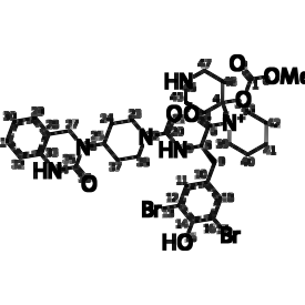 COC(=O)OC1([N+]2(C(=O)[C@@H](Cc3cc(Br)c(O)c(Br)c3)NC(=O)N3CCC(N4Cc5ccccc5NC4=O)CC3)CCCCC2)CCNCC1